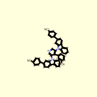 N#Cc1ccc(-c2ccc3c4ccccc4n(-c4cncc(-n5c6ccccc6c6ccc(-c7ccc(C#N)cc7)cc65)c4-c4cccc(C#N)c4)c3c2)cc1